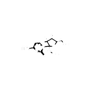 CCCCCCCCCCO[C@@]1(n2ccc(N)nc2=O)O[C@H](CO)[C@@H](O)[C@]1(O)F